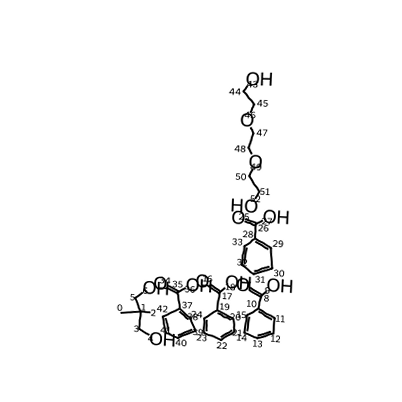 CC(C)(CO)CO.O=C(O)c1ccccc1.O=C(O)c1ccccc1.O=C(O)c1ccccc1.O=C(O)c1ccccc1.OCCOCCOCCO